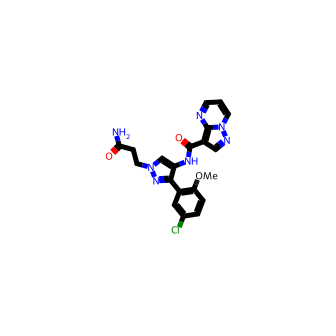 COc1ccc(Cl)cc1-c1nn(CCC(N)=O)cc1NC(=O)c1cnn2cccnc12